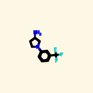 N[C@@H]1CCN(c2cccc(C(F)(F)F)c2)C1